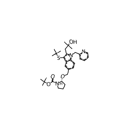 CC(C)(O)Cc1c(SC(C)(C)C)c2cc(CO[C@@H]3CCCN3C(=O)OC(C)(C)C)ccc2n1Cc1ccccn1